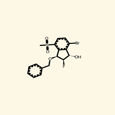 CS(=O)(=O)c1ccc(Br)c2c1[C@H](OCc1ccccc1)[C@H](F)[C@H]2O